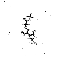 CC(C)(C)OC(=O)C(C)(C)O/N=C(\[C]=O)c1nc(N)sc1Cl